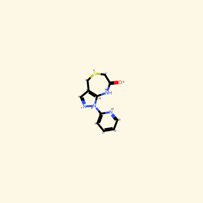 O=C1CSCc2cnn(-c3ccccn3)c2N1